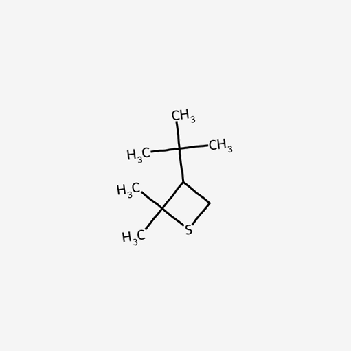 CC(C)(C)C1CSC1(C)C